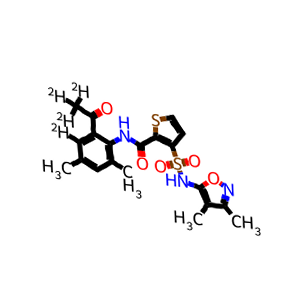 [2H]c1c(C)cc(C)c(NC(=O)c2sccc2S(=O)(=O)Nc2onc(C)c2C)c1C(=O)C([2H])([2H])[2H]